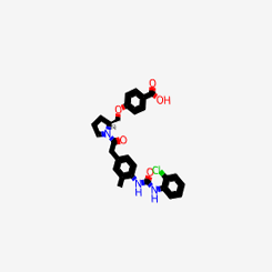 Cc1cc(CC(=O)N2CCC[C@H]2COc2ccc(C(=O)O)cc2)ccc1NC(=O)Nc1ccccc1Cl